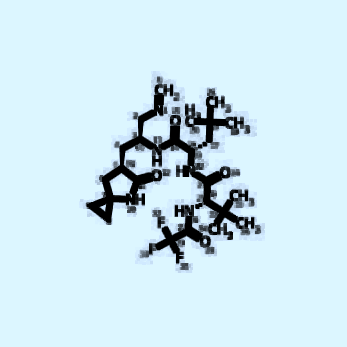 C=NC[C@H](C[C@@H]1CC2(CC2)NC1=O)NC(=O)[C@H](CC(C)(C)C)NC(=O)[C@@H](NC(=O)C(F)(F)F)C(C)(C)C